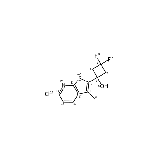 Cc1c(C2(O)CC(F)(F)C2)sc2nc(Cl)ccc12